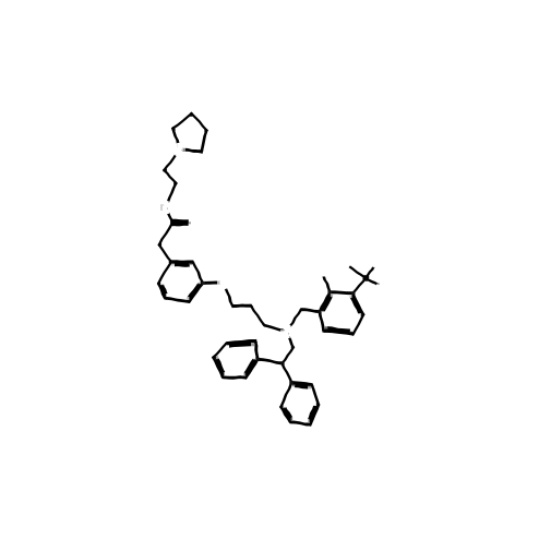 O=C(Cc1cccc(OCCCN(Cc2cccc(C(F)(F)F)c2Cl)CC(c2ccccc2)c2ccccc2)c1)NCCN1CCCC1